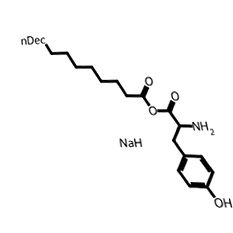 CCCCCCCCCCCCCCCCCC(=O)OC(=O)C(N)Cc1ccc(O)cc1.[NaH]